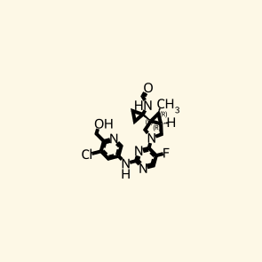 C[C@@H]1[C@H]2CN(c3nc(Nc4cnc(CO)c(Cl)c4)ncc3F)C[C@]12C1(NC=O)CC1